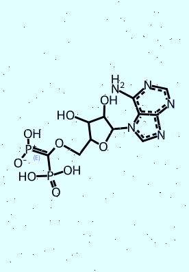 Nc1ncnc2ncn(C3OC(CO/C(=[P+](/[O-])O)P(=O)(O)O)C(O)C3O)c12